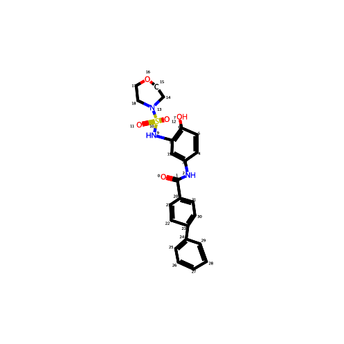 O=C(Nc1ccc(O)c(NS(=O)(=O)N2CCOCC2)c1)c1ccc(-c2ccccc2)cc1